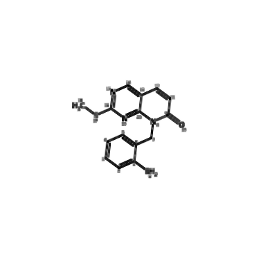 Bc1ccccc1Cn1c(=O)ccc2cnc(SC)nc21